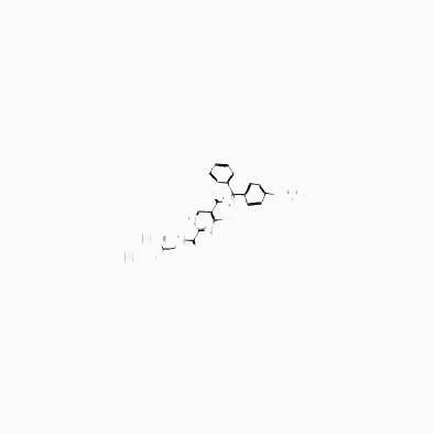 COc1ccc([C@H](NC(=O)c2cnc(C(=O)NCC(O)C(=O)O)nc2O)c2ccccc2)cc1